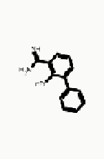 CCCc1c(C(=N)N)cccc1-c1ccccc1